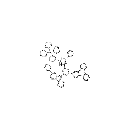 c1ccc(-c2ccc3c4ccccc4n(-c4cc(-c5ccc6c7ccccc7c7ccccc7c6c5)cc(-c5nc(-c6ccccc6)cc(-c6ccc7c(c6)C(c6ccccc6)(c6ccccc6)c6ccccc6-7)n5)c4)c3c2)cc1